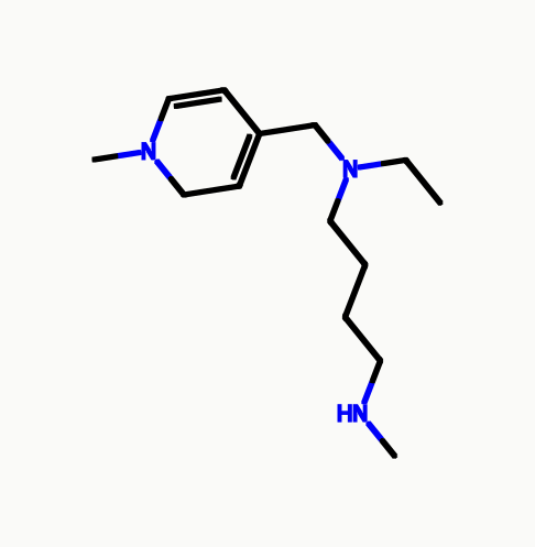 CCN(CCCCNC)CC1=CCN(C)C=C1